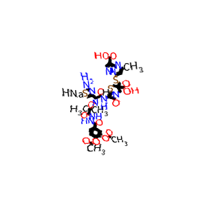 CC(=O)Oc1ccc(C(=O)NNC(=O)C(C)(C)ON=C(C(=O)NC2C(=O)N3CC(CSc4cc(C)nc5c(C(=O)O)cnn45)(C(=O)O)CS[C@H]23)c2csc(N)n2)cc1OC(C)=O.[NaH]